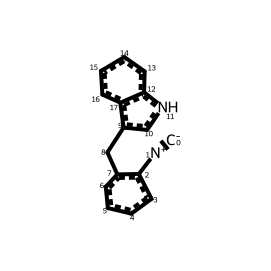 [C-]#[N+]c1ccccc1Cc1c[nH]c2ccccc12